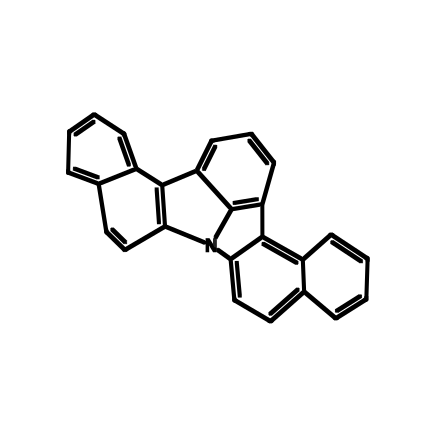 c1ccc2c(c1)ccc1c2c2cccc3c4c5ccccc5ccc4n1c23